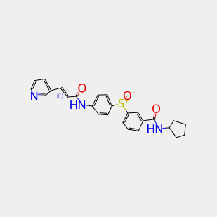 O=C(/C=C/c1cccnc1)Nc1ccc([S+]([O-])c2cccc(C(=O)NC3CCCC3)c2)cc1